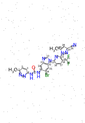 Cc1ccc(NC(=O)Nc2cc3ncn(-c4ccc(C(F)F)c(-n5nc(C#N)cc5C)n4)c3cc2Br)nn1